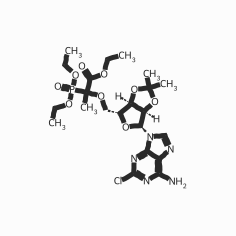 CCOC(=O)C(C)(OC[C@H]1O[C@@H](n2cnc3c(N)nc(Cl)nc32)[C@@H]2OC(C)(C)O[C@@H]21)P(=O)(OCC)OCC